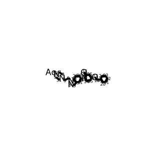 CC(=O)N1CCN(CCn2ncc3cc(-n4ccc(OCc5ccccc5)cc4=O)ccc32)CC1